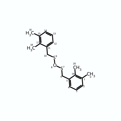 Cc1cccc(CSOSCc2cccc(C)c2C)c1C